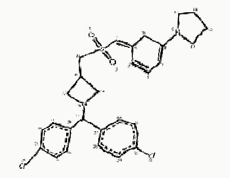 O=S(=O)(/C=C1\C=CC=C(N2CCCC2)C1)CC1CN(C(c2ccc(Cl)cc2)c2ccc(Cl)cc2)C1